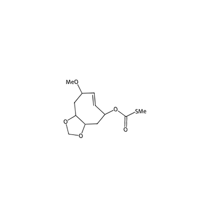 COC1/C=C/C(OC(=O)SC)CC2OCOC2C1